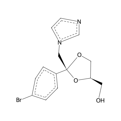 OC[C@@H]1CO[C@@](Cn2ccnc2)(c2ccc(Br)cc2)O1